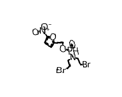 O=[N+]([O-])c1ccc(CO[PH](=O)N(CCBr)CCBr)o1